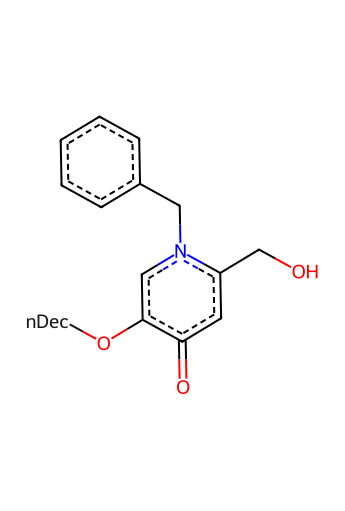 CCCCCCCCCCOc1cn(Cc2ccccc2)c(CO)cc1=O